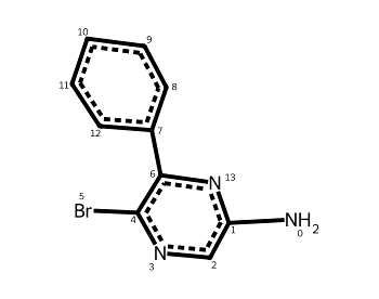 Nc1cnc(Br)c(-c2ccccc2)n1